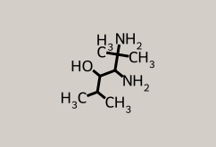 CC(C)C(O)C(N)C(C)(C)N